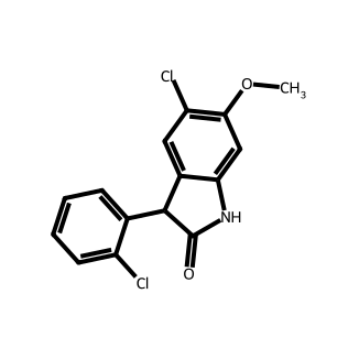 COc1cc2c(cc1Cl)C(c1ccccc1Cl)C(=O)N2